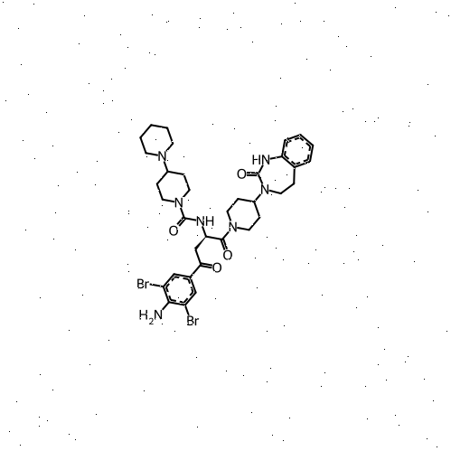 Nc1c(Br)cc(C(=O)C[C@@H](NC(=O)N2CCC(N3CCCCC3)CC2)C(=O)N2CCC(N3CCc4ccccc4NC3=O)CC2)cc1Br